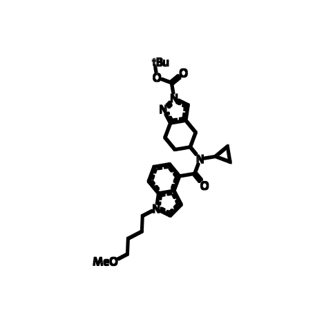 COCCCCn1ccc2c(C(=O)N(C3CC3)C3CCc4nn(C(=O)OC(C)(C)C)cc4C3)cccc21